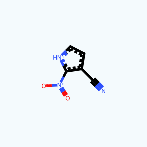 N#Cc1cc[nH]c1[N+](=O)[O-]